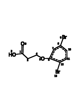 O=C(O)CCOc1cc(Br)ccc1Br